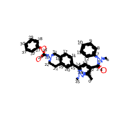 Cc1c(C(=O)N(C)c2ccccc2)cc(-c2ccc3c(c2)CCN(C(=O)Oc2ccccc2)C3)n1C